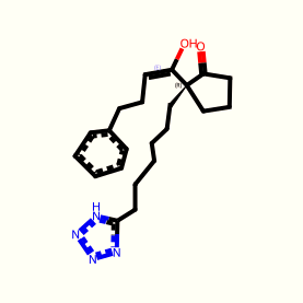 O=C1CCC[C@]1(CCCCCCc1nnn[nH]1)/C(O)=C\CCc1ccccc1